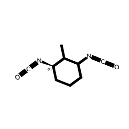 CC1C(N=C=O)CCC[C@H]1N=C=O